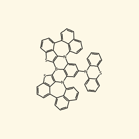 c1ccc2c(c1)Sc1ccccc1N2c1cc2c3c(c1)-n1c4cccc5cccc(c6cccc7sc(c1c76)B3c1sc3cccc6c7cccc8cccc(c87)n-2c1c36)c54